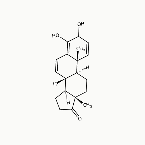 C[C@]12C=CC(O)C(O)=C1C=C[C@@H]1[C@@H]2CC[C@]2(C)C(=O)CC[C@@H]12